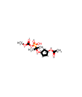 COC(=O)OP(=O)(O)C(C)(C)O[C@@H]1C=C[C@H](OC(C)=O)C1